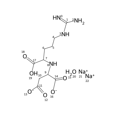 N=C(N)NCCCC(NC(CC(=O)[O-])C(=O)[O-])C(=O)O.O.[Na+].[Na+]